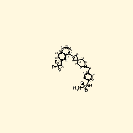 NS(=O)(=O)Nc1ccc(CN2CCC3(CC2)CN(c2ncnc4ccc(CC(F)(F)F)cc24)C3)cc1